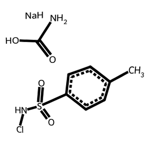 Cc1ccc(S(=O)(=O)NCl)cc1.NC(=O)O.[NaH]